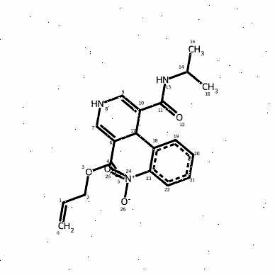 C=CCOC(=O)C1=CNC=C(C(=O)NC(C)C)C1c1ccccc1[N+](=O)[O-]